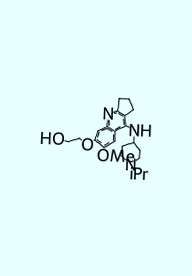 COc1cc2c(NC3CCN(C(C)C)CC3)c3c(nc2cc1OCCO)CCC3